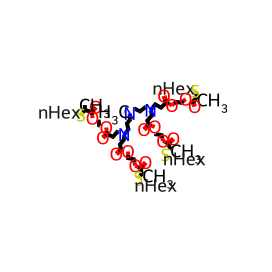 CCCCCCSC(C)C(=O)OCCOC(=O)CCN(CCCN(C)CCCN(CCC(=O)OCCOC(=O)C(C)SCCCCCC)CCC(=O)OCCOC(=O)C(C)SCCCCCC)CCC(=O)OCCOC(=O)C(C)SCCCCCC